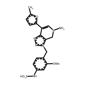 COc1cc(NS(=O)(=O)O)ccc1Cn1nnc2c1CN(N)C=C2c1ccc(C)o1